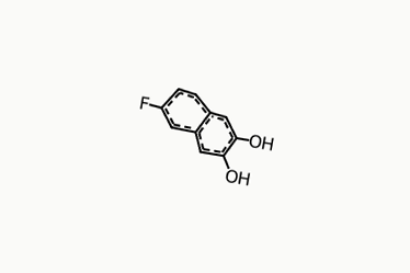 Oc1cc2ccc(F)cc2cc1O